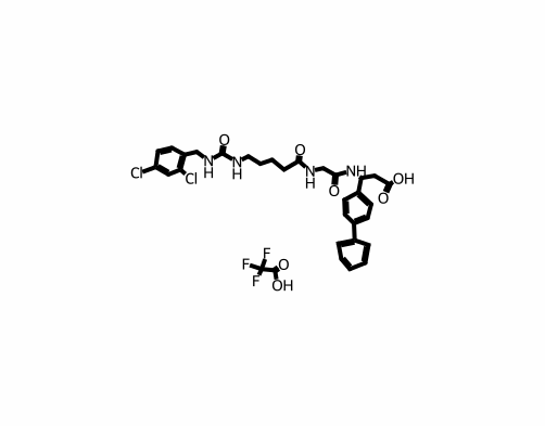 O=C(O)C(F)(F)F.O=C(O)CC(NC(=O)CNC(=O)CCCCNC(=O)NCc1ccc(Cl)cc1Cl)c1ccc(-c2ccccc2)cc1